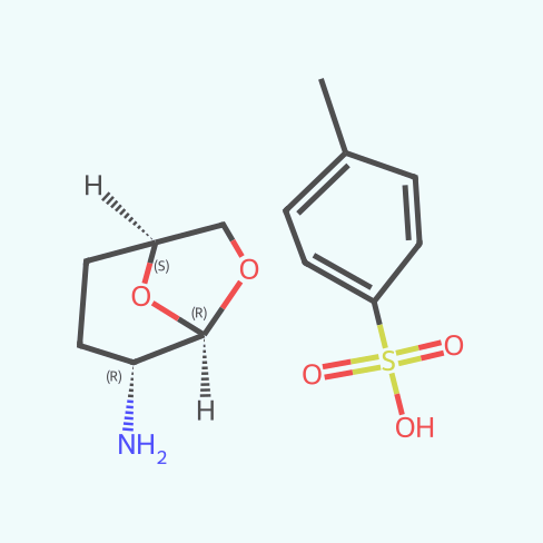 Cc1ccc(S(=O)(=O)O)cc1.N[C@@H]1CC[C@H]2CO[C@@H]1O2